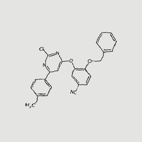 Cc1ccc(-c2cc(Oc3cc(C#N)ccc3OCc3ccccc3)nc(Cl)n2)cc1